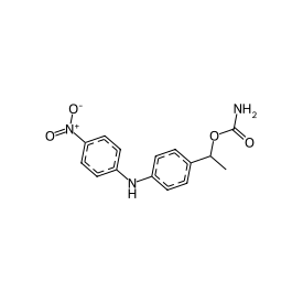 CC(OC(N)=O)c1ccc(Nc2ccc([N+](=O)[O-])cc2)cc1